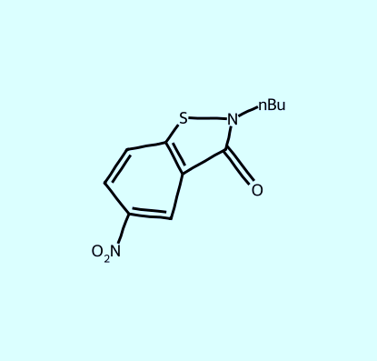 CCCCn1sc2ccc([N+](=O)[O-])cc2c1=O